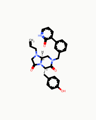 C=CCN1CC(=O)N2[C@@H]1CN(Cc1cccc(-c3ccc[nH]c3=O)c1)C(=O)[C@@H]2Cc1ccc(O)cc1